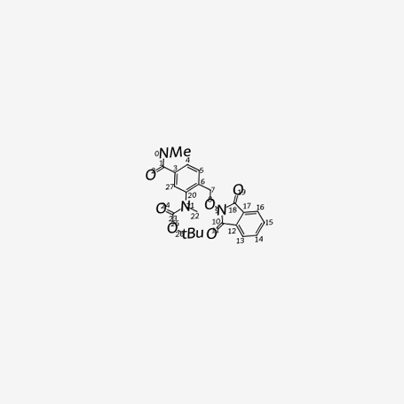 CNC(=O)c1ccc(CON2C(=O)c3ccccc3C2=O)c(N(C)C(=O)OC(C)(C)C)c1